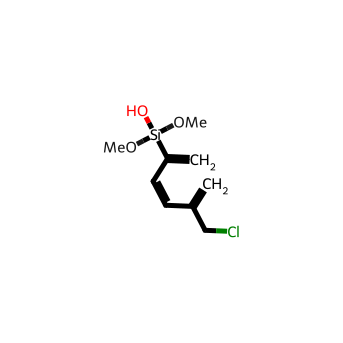 C=C(/C=C\C(=C)[Si](O)(OC)OC)CCl